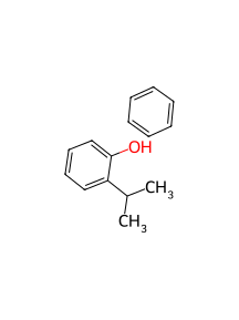 CC(C)c1ccccc1O.c1ccccc1